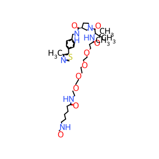 Cc1ncsc1-c1ccc(CNC(=O)[C@H]2CCN(C(=O)[C@H](NC(=O)CCOCCOCCOCCOCCNC(=O)CCCCCNC=O)C(C)(C)C)C2)cc1